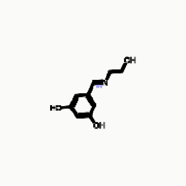 OCC/N=C/c1cc(O)cc(O)c1